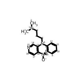 CN(C)CCCN(c1ccccc1)c1cnccc1[N+](=O)[O-]